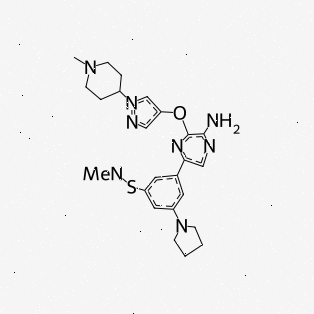 CNSc1cc(-c2cnc(N)c(Oc3cnn(C4CCN(C)CC4)c3)n2)cc(N2CCCC2)c1